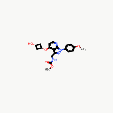 CC(C)(C)OC(=O)NCc1nn(-c2ccc(OC(F)(F)F)cc2)c2nccc(O[C@H]3C[C@@H](O)C3)c12